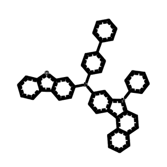 c1ccc(-c2ccc(N(c3ccc4c(c3)oc3ccccc34)c3ccc4c5c6ccccc6ccc5n(-c5ccccc5)c4c3)cc2)cc1